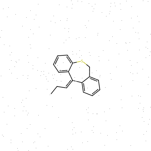 CCC=C1c2ccccc2CSc2ccccc21